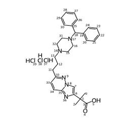 CC(C)(C(=O)O)c1cn2nc(CCCN3CCN(C(c4ccccc4)c4ccccc4)CC3)ccc2n1.Cl.Cl.Cl